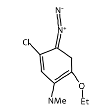 CCOC1=C(NC)C=C(Cl)C(=[N+]=[N-])C1